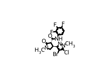 CN1C[C@H](c2nn(C)c(Cl)c2Br)[C@@H](C(=O)Nc2ccc(F)c(F)c2F)C1=O